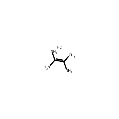 CC(N)=C(N)N.Cl